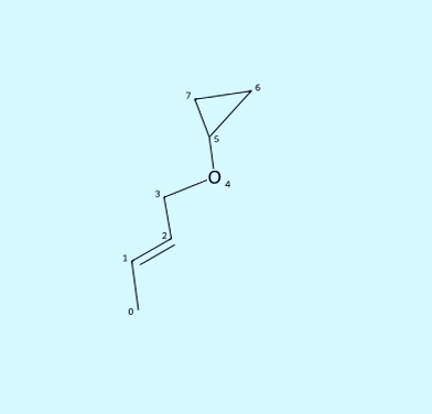 CC=CCOC1CC1